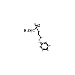 CCOC(=O)C1(CCCOc2ccccc2)CO1